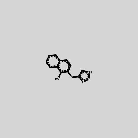 Oc1c(Oc2c[nH]nn2)ccc2ccccc12